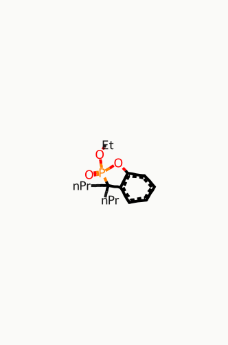 CCCC1(CCC)c2ccccc2OP1(=O)OCC